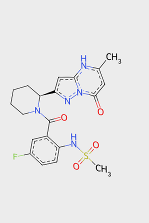 Cc1cc(=O)n2nc([C@@H]3CCCCN3C(=O)c3cc(F)ccc3NS(C)(=O)=O)cc2[nH]1